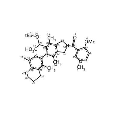 COc1ccc(C)cc1C(=O)N1Cc2c(C)c(-c3cc(F)c4c(c3C)CCCO4)c([C@H](OC(C)(C)C)C(=O)O)c(C)c2C1